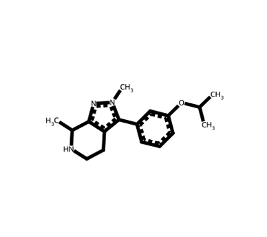 CC(C)Oc1cccc(-c2c3c(nn2C)C(C)NCC3)c1